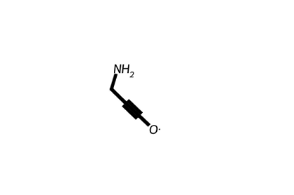 NCC#C[O]